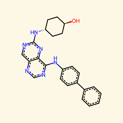 O[C@H]1CC[C@H](Nc2ncc3ncnc(Nc4ccc(-c5ccccc5)cc4)c3n2)CC1